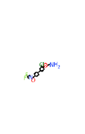 NCCOc1ccc(-c2ccc(C(=O)N3CC(F)(F)C3)cc2)cc1Cl